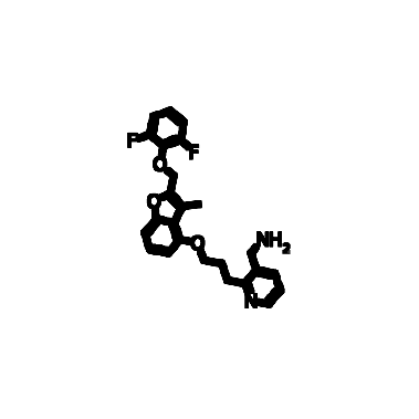 Cc1c(COc2c(F)cccc2F)oc2cccc(OCCCc3ncccc3CN)c12